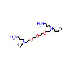 CC/C=C\CN(CCCN)CCOCCOCCOCCN(C)CCCN